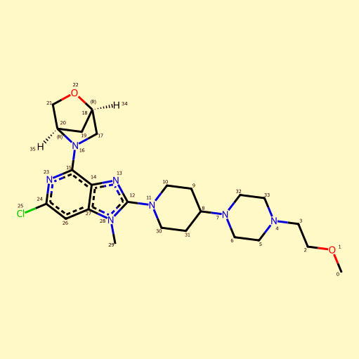 COCCN1CCN(C2CCN(c3nc4c(N5C[C@H]6C[C@@H]5CO6)nc(Cl)cc4n3C)CC2)CC1